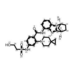 O=C(Nc1cccc2c1nc1n2[C@H]2CC[C@@H]1C2)c1ccc(NS(=O)(=O)CCO)cc1N1CCC2(CC1)CC2